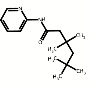 CC(C)(C)CC(C)(C)CC(=O)Nc1ccccn1